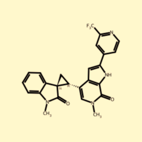 CN1C(=O)[C@]2(C[C@@H]2c2cn(C)c(=O)c3[nH]c(-c4ccnc(C(F)(F)F)c4)cc23)c2ccccc21